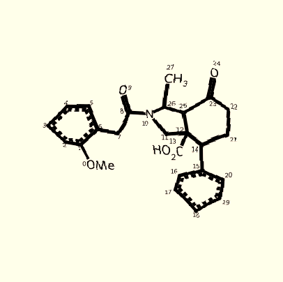 COc1ccccc1CC(=O)N1CC2(C(=O)O)C(c3ccccc3)CCC(=O)C2C1C